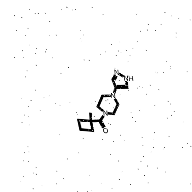 CC1(C(=O)N2CCN(c3cn[nH]c3)CC2)CCC1